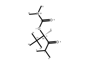 CC(C)C(=O)[C@](C)(OC(=O)N(C)C)C(C)(C)C